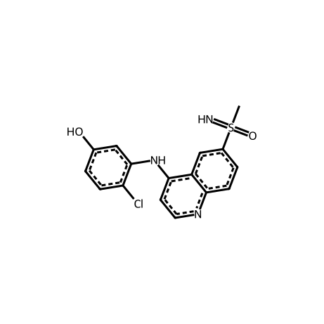 CS(=N)(=O)c1ccc2nccc(Nc3cc(O)ccc3Cl)c2c1